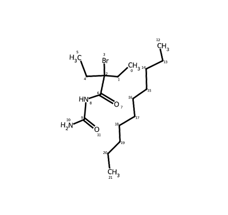 CCC(Br)(CC)C(=O)NC(N)=O.CCCCCCCCCC